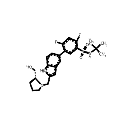 CC(C)(C)NS(=O)(=O)c1cc(-c2ccc3[nH]c(CN4CCC[C@@H]4CO)cc3c2)c(F)cc1F